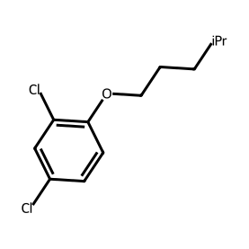 CC(C)CCCOc1ccc(Cl)cc1Cl